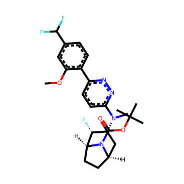 COc1cc(C(F)F)ccc1-c1ccc(N(C)[C@@H]2C[C@H]3CC[C@@H]([C@@H]2F)N3C(=O)OC(C)(C)C)nn1